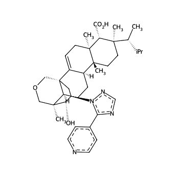 CC(C)[C@@H](C)[C@@]1(C)CC[C@]2(C)[C@H]3CC[C@@H]4[C@@]5(COC[C@]4(C)[C@@H](O)[C@H](n4ncnc4-c4ccncc4)C5)C3=CC[C@@]2(C)[C@@H]1C(=O)O